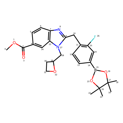 COC(=O)c1ccc2nc(Cc3ccc(B4OC(C)(C)C(C)(C)O4)cc3F)n(CC3CCO3)c2c1